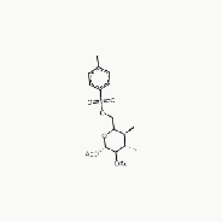 CC(=O)OC1[C@H](OC(C)=O)OC(COS(=O)(=O)c2ccc(C)cc2)[C@@H](C)[C@@H]1C